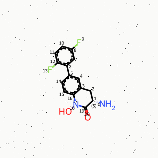 N[C@H]1Cc2cc(-c3cc(F)ccc3F)ccc2N(O)C1=O